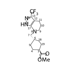 COC(=O)[C@H]1CC[C@H](CN2CCCc3c(C(F)(F)F)n[nH]c32)CC1